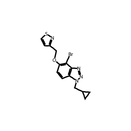 Brc1c(OCc2ccsn2)ccc2c1nnn2CC1CC1